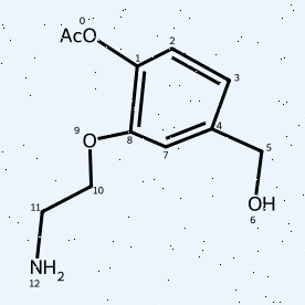 CC(=O)Oc1ccc(CO)cc1OCCN